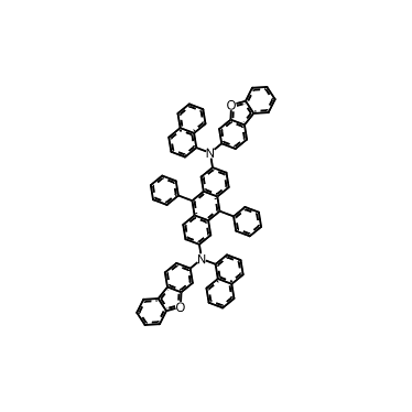 c1ccc(-c2c3ccc(N(c4ccc5c(c4)oc4ccccc45)c4cccc5ccccc45)cc3c(-c3ccccc3)c3ccc(N(c4ccc5c(c4)oc4ccccc45)c4cccc5ccccc45)cc23)cc1